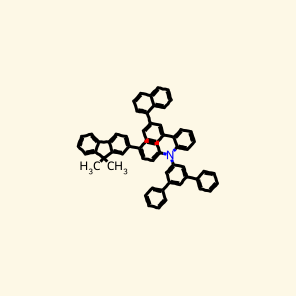 CC1(C)c2ccccc2-c2ccc(-c3ccc(N(c4cc(-c5ccccc5)cc(-c5ccccc5)c4)c4ccccc4-c4cccc(-c5cccc6ccccc56)c4)cc3)cc21